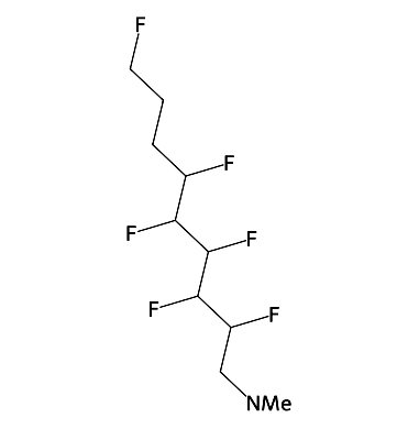 CNCC(F)C(F)C(F)C(F)C(F)CCCF